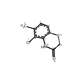 Cc1ccc2c(c1Cl)NC(=O)CO2